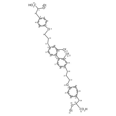 CCOC(Cc1ccc(OCCCc2ccc(-c3ccc(CCCOc4ccc(CC(OCC)C(=O)O)cc4)cc3C(F)(F)F)c(C(F)(F)F)c2)cc1)C(=O)O